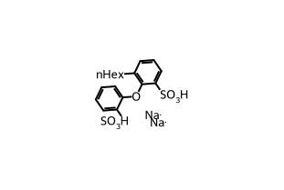 CCCCCCc1cccc(S(=O)(=O)O)c1Oc1ccccc1S(=O)(=O)O.[Na].[Na]